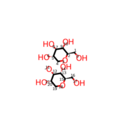 OC[C@H]1OC[C@H](O)[C@@H](O)[C@H]1O.[O][C@H]1[C@H](O)[C@@H](CO)OC[C@@H]1O